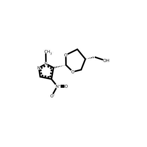 Cn1ncc([N+](=O)[O-])c1[C@H]1OC[C@@H](CO)CO1